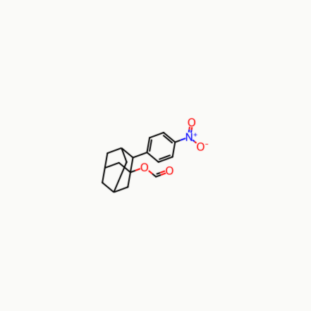 O=COC12CC3CC(CC(C3)C1c1ccc([N+](=O)[O-])cc1)C2